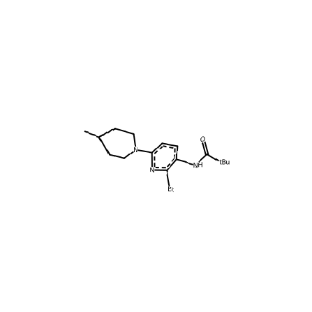 CCc1nc(N2CCC(C)CC2)ccc1NC(=O)C(C)(C)C